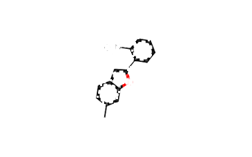 Cc1ccc2cc(-c3ccccc3[N+](=O)[O-])oc2c1